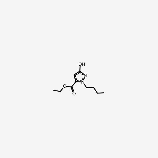 CCCCn1nc(O)cc1C(=O)OCC